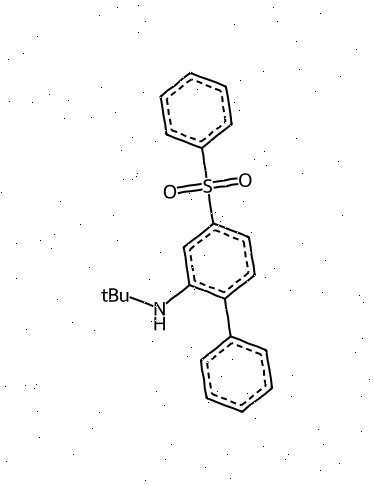 CC(C)(C)Nc1cc(S(=O)(=O)c2ccccc2)ccc1-c1ccccc1